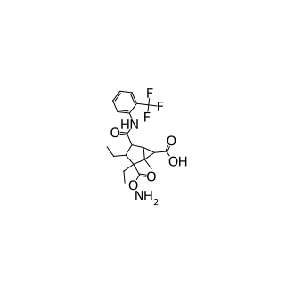 CCC1C(C(=O)Nc2ccccc2C(F)(F)F)C2C(C(=O)O)C2(C)C1(CC)C(=O)ON